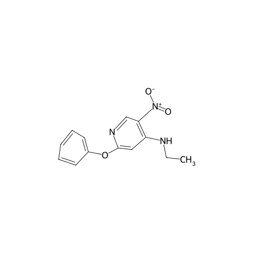 CCNc1cc(Oc2ccccc2)ncc1[N+](=O)[O-]